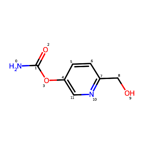 NC(=O)Oc1ccc(CO)nc1